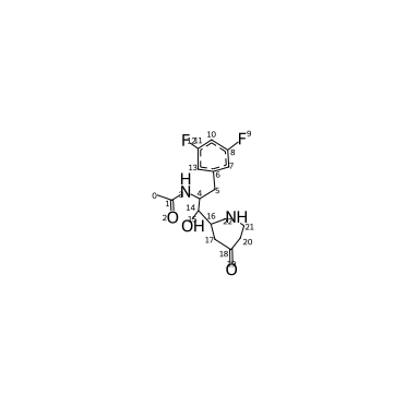 CC(=O)NC(Cc1cc(F)cc(F)c1)C(O)C1CC(=O)CCN1